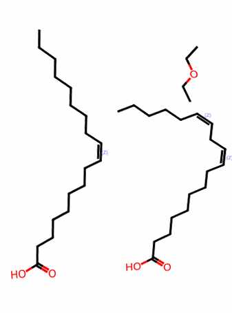 CCCCC/C=C\C/C=C\CCCCCCCC(=O)O.CCCCCCCC/C=C\CCCCCCCC(=O)O.CCOCC